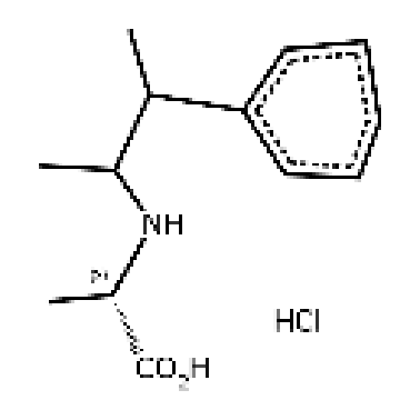 CC(N[C@@H](C)C(=O)O)C(C)c1ccccc1.Cl